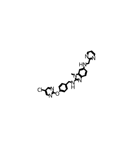 Cn1c(NCc2ccc(Oc3ncc(Cl)cn3)cc2)nc2ccc(NCc3ncccn3)cc21